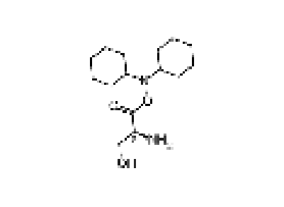 N[C@@H](CO)C(=O)ON(C1CCCCC1)C1CCCCC1